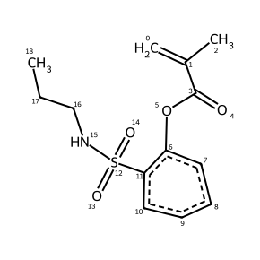 C=C(C)C(=O)Oc1ccccc1S(=O)(=O)NCCC